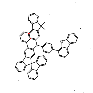 CC1(C)c2ccccc2-c2ccc(N(c3ccc(-c4cccc5c4oc4ccccc45)cc3)c3cc4c(cc3-c3ccccc3)-c3ccccc3C43c4ccccc4-c4ccccc43)cc21